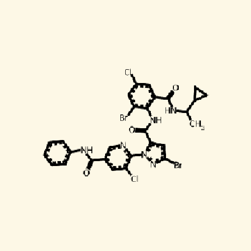 CC(NC(=O)c1cc(Cl)cc(Br)c1NC(=O)c1cc(Br)nn1-c1ncc(C(=O)Nc2ccccc2)cc1Cl)C1CC1